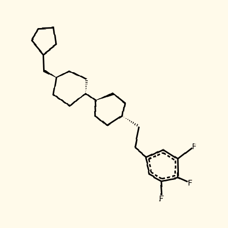 Fc1cc(CC[C@H]2CC[C@H]([C@H]3CC[C@H](CC4CCCC4)CC3)CC2)cc(F)c1F